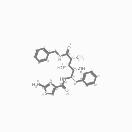 C[C@@H](C(=O)NCc1ccccc1)[C@@H](O)[C@H](O)[C@H](Cc1ccccc1)NC(=O)c1csc(N)n1